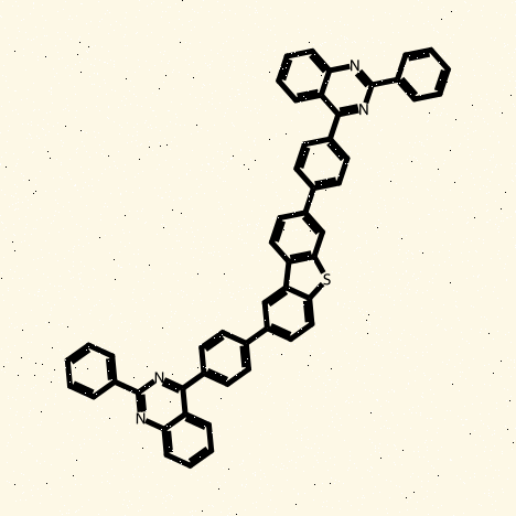 c1ccc(-c2nc(-c3ccc(-c4ccc5c(c4)sc4ccc(-c6ccc(-c7nc(-c8ccccc8)nc8ccccc78)cc6)cc45)cc3)c3ccccc3n2)cc1